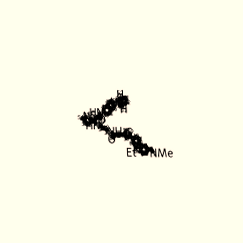 CCn1c2ccc(CNC)cc2c2ccc(-c3cc(C#CC(=O)NCCCCNc4c(C(=O)N[C@H]5CCc6cc(N7C[C@H]8CC[C@@H](C7)N8)ccc6C5)sc5nc(C)ccc45)cs3)cc21